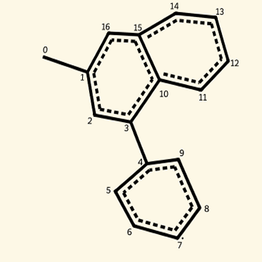 Cc1cc(-c2cc[c]cc2)c2ccccc2c1